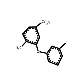 Cc1ccc(C(=O)O)cc1Oc1cccc(F)c1